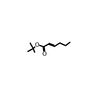 CCCC=CC(=O)OC(C)(C)C